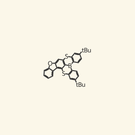 CC(C)(C)c1ccc2c(c1)Sc1cc3oc4ccccc4c3c3c1B2c1ccc(C(C)(C)C)cc1S3